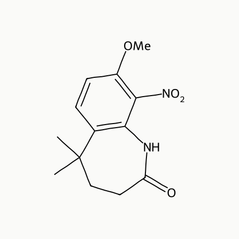 COc1ccc2c(c1[N+](=O)[O-])NC(=O)CCC2(C)C